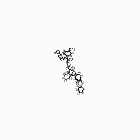 COC(=O)c1cc(Cl)ccc1NC(=O)COCC(=O)N1CCCCC1Oc1ccc(Cc2ccccc2)cc1